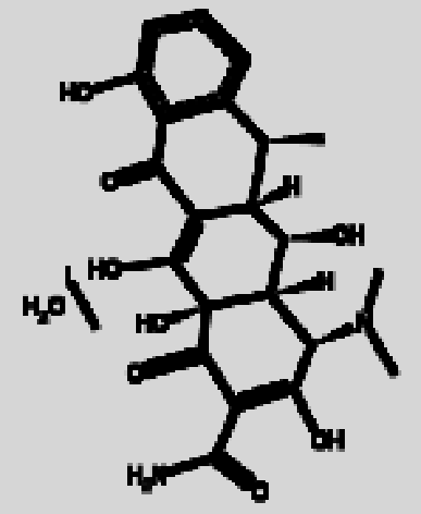 CI.C[C@H]1c2cccc(O)c2C(=O)C2=C(O)[C@]3(O)C(=O)C(C(N)=O)=C(O)[C@@H](N(C)C)[C@@H]3[C@@H](O)[C@@H]21.O